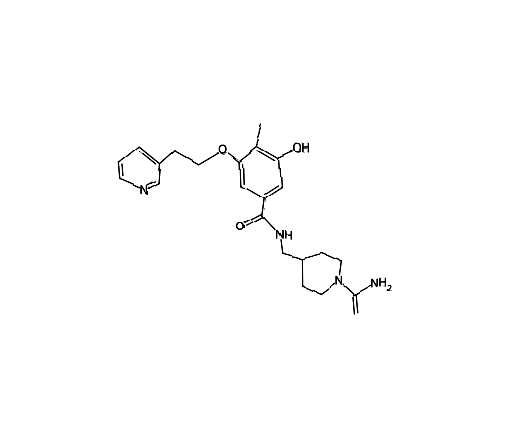 C=C(N)N1CCC(CNC(=O)c2cc(O)c(C)c(OCCc3cccnc3)c2)CC1